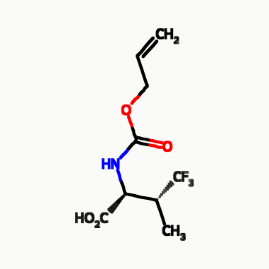 C=CCOC(=O)N[C@H](C(=O)O)[C@@H](C)C(F)(F)F